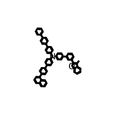 Cc1c(-c2cccc(-c3ccc(N(c4ccc(-c5ccc(-c6ccccc6)cc5)cc4)c4ccc(-c5ccc(-c6cccc7ccccc67)cc5)cc4)cc3)c2)oc2ccccc12